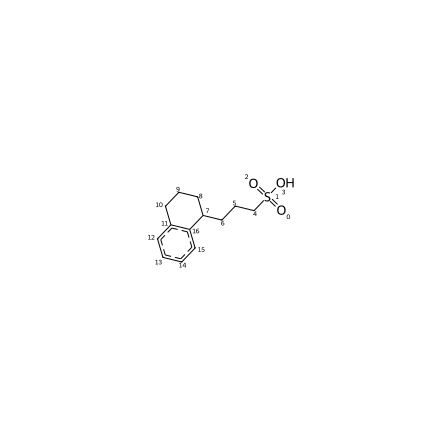 O=S(=O)(O)CCCC1CCCc2ccccc21